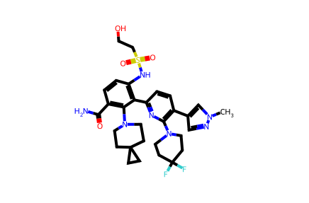 Cn1cc(-c2ccc(-c3c(NS(=O)(=O)CCO)ccc(C(N)=O)c3N3CCC4(CC3)CC4)nc2N2CCC(F)(F)CC2)cn1